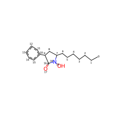 CCCCCCCC1CC(c2ccccc2)C(=O)N1O